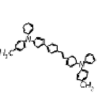 Cc1ccc(N(c2ccccc2)c2ccc(/C=C/c3ccc(-c4ccc(N(c5ccccc5)c5ccc(C)cc5)cc4)cc3)cc2)cc1